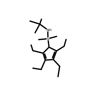 CCC1=C(CC)C([Si](C)(C)NC(C)(C)C)C(CC)=C1CC